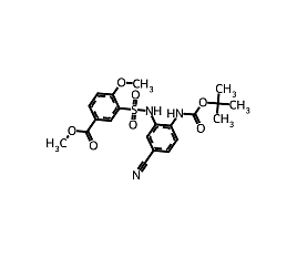 COC(=O)c1ccc(OC)c(S(=O)(=O)Nc2cc(C#N)ccc2NC(=O)OC(C)(C)C)c1